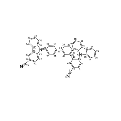 N#Cc1ccc(-n2c3ccccc3c3ccccc32)c(-c2cccc(-c3ccc(-n4c5ccccc5c5cc(C#N)ccc54)cc3)c2)c1